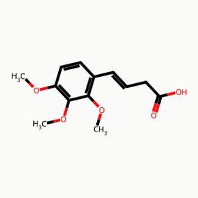 COc1ccc(C=CCC(=O)O)c(OC)c1OC